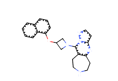 c1ccc2c(OC3CN(c4c5c(nc6ccnn46)CCNCC5)C3)cccc2c1